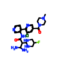 CN1CCN(C(=O)c2cnc(-c3ccncc3NC(=O)C(C(N)N)C3NCC(F)CN3)c(Cl)c2)CC1